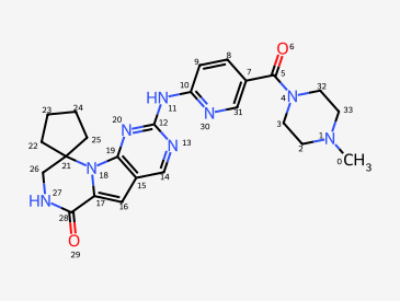 CN1CCN(C(=O)c2ccc(Nc3ncc4cc5n(c4n3)C3(CCCC3)CNC5=O)nc2)CC1